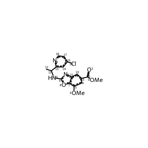 COC(=O)c1cc(OC)c2oc(NC(C)c3cc(Cl)ccn3)nc2c1